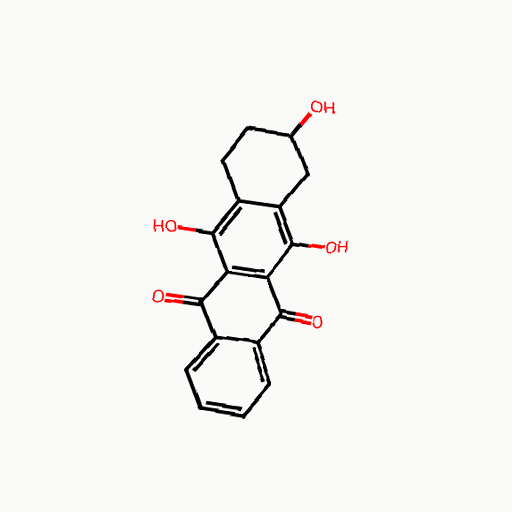 O=C1c2ccccc2C(=O)c2c(O)c3c(c(O)c21)CCC(O)C3